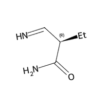 CC[C@H](C=N)C(N)=O